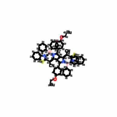 CCC(C)COc1ccc(-c2c3/c(=C(\C#N)c4nc5ccccc5s4)n([B-](C)(c4ccccc4)c4ccccc4)c(-c4ccc(OCC(C)CC)cc4)c3/c(=C(\C#N)c3nc4ccccc4s3)n2B(c2ccccc2)c2ccccc2)cc1